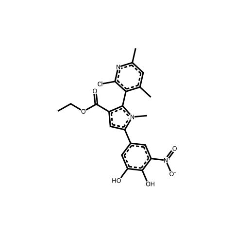 CCOC(=O)c1cc(-c2cc(O)c(O)c([N+](=O)[O-])c2)n(C)c1-c1c(C)cc(C)nc1Cl